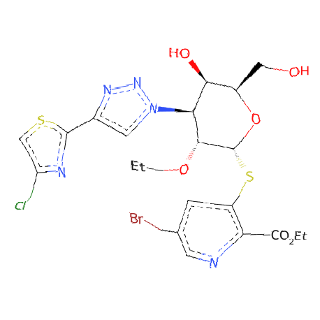 CCOC(=O)c1ncc(Br)cc1S[C@H]1O[C@H](CO)[C@H](O)[C@H](n2cc(-c3nc(Cl)cs3)nn2)[C@H]1OCC